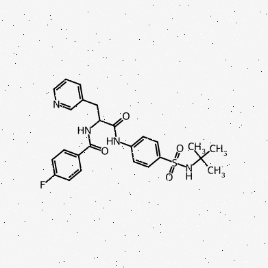 CC(C)(C)NS(=O)(=O)c1ccc(NC(=O)C(Cc2cccnc2)NC(=O)c2ccc(F)cc2)cc1